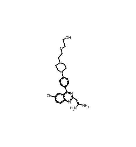 NC(N)=Nc1nc(-c2ccc(N3CCN(CCOCCO)CC3)cc2)c2cc(Cl)ccc2n1